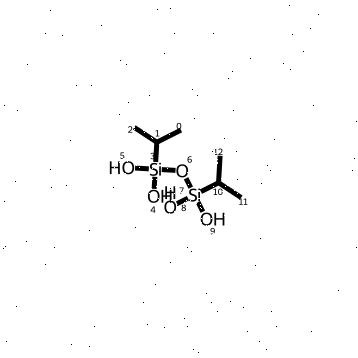 CC(C)[Si](O)(O)O[Si](O)(O)C(C)C